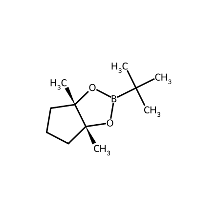 CC(C)(C)B1O[C@]2(C)CCC[C@]2(C)O1